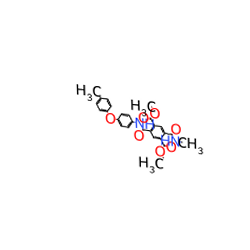 CCOC(=O)c1cc(C(=O)Nc2ccc(Oc3ccc(C)cc3)cc2)c(C(=O)OC)cc1C(=O)NC